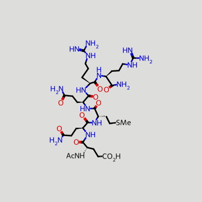 CSCC[C@H](NC(=O)[C@H](CCC(N)=O)NC(=O)[C@H](CCC(=O)O)NC(C)=O)C(=O)N[C@@H](CCC(N)=O)C(=O)N[C@@H](CCCNC(=N)N)C(=O)N[C@@H](CCCNC(=N)N)C(N)=O